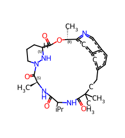 CC(C)C1NC(=O)C(C)(C)CCc2ccc3cnc(cc3c2)[C@@H](C)OC(=O)[C@@H]2CCCN(N2)C(=O)[C@H](C)NC1=O